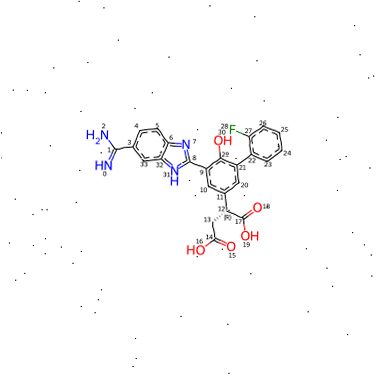 N=C(N)c1ccc2nc(-c3cc([C@@H](CC(=O)O)C(=O)O)cc(-c4ccccc4F)c3O)[nH]c2c1